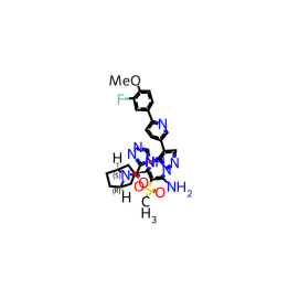 COc1ccc(-c2ccc(-c3cnn4c(N)c(S(C)(=O)=O)c([C@H]5C[C@H]6CC[C@@H](C5)N6C(=O)c5nnc[nH]5)nc34)cn2)cc1F